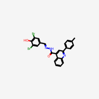 Cc1ccc(-c2cc(C(=O)N/N=C/c3cc(Br)c(O)c(Br)c3)c3ccccc3n2)cc1